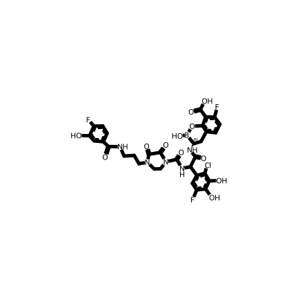 O=C(NCCCN1CCN(C(=O)NC(C(=O)N[C@H]2Cc3ccc(F)c(C(=O)O)c3OB2O)c2cc(F)c(O)c(O)c2Cl)C(=O)C1=O)c1ccc(F)c(O)c1